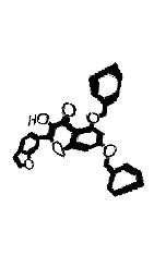 O=c1c(O)c(-c2ccc3ccoc3c2)oc2cc(OCc3ccccc3)cc(OCc3ccccc3)c12